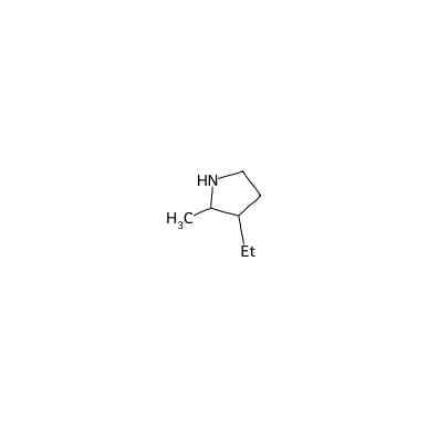 CCC1CCNC1C